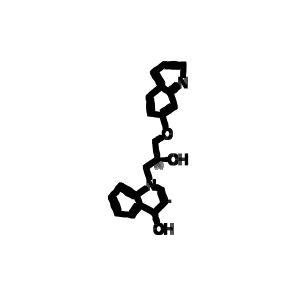 OC1[C]=CN(C[C@H](O)COc2ccc3cccnc3c2)c2ccccc21